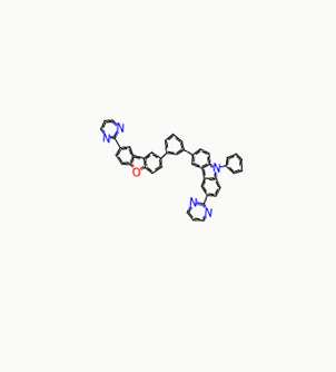 c1ccc(-n2c3ccc(-c4cccc(-c5ccc6oc7ccc(-c8ncccn8)cc7c6c5)c4)cc3c3cc(-c4ncccn4)ccc32)cc1